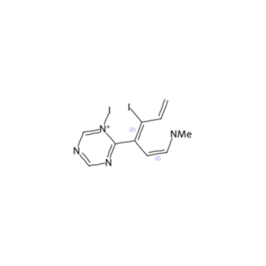 C=C/C(I)=C(\C=C/NC)c1ncnc[n+]1I